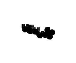 CC1(C)c2ccccc2-c2ccc(-c3ccc(Nc4cccc5c4oc4c6c(ccc45)C(c4ccccc4)(c4ccccc4)c4ccccc4-6)cc3)cc21